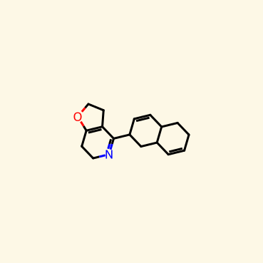 C1=CC2CC(C3=NCCC4=C3CCO4)C=CC2CC1